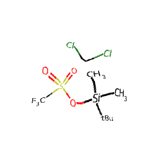 CC(C)(C)[Si](C)(C)OS(=O)(=O)C(F)(F)F.ClCCl